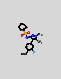 COc1ccc(-c2c(NS(=O)(=O)c3ccccc3)nn(C)c2C(F)(F)F)cc1F